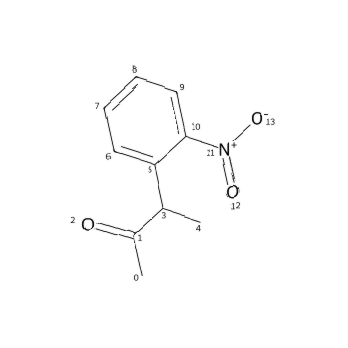 CC(=O)C(C)c1ccccc1[N+](=O)[O-]